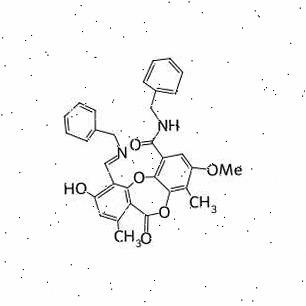 COc1cc(C(=O)NCc2ccccc2)c2c(c1C)OC(=O)c1c(C)cc(O)c(C=NCc3ccccc3)c1O2